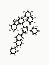 c1ccc(-c2ccc3cc(-c4nc(-c5ccccc5)nc(-c5c6c(cc7oc8ccccc8c57)-c5cccc7cccc-6c57)n4)ccc3c2)cc1